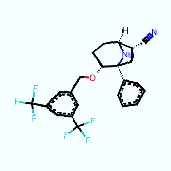 N#C[C@@H]1C[C@]2(c3ccccc3)N[C@H]1CC[C@H]2OCc1cc(C(F)(F)F)cc(C(F)(F)F)c1